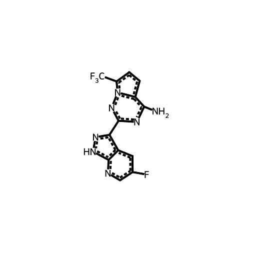 Nc1nc(-c2n[nH]c3ncc(F)cc23)nn2c(C(F)(F)F)ccc12